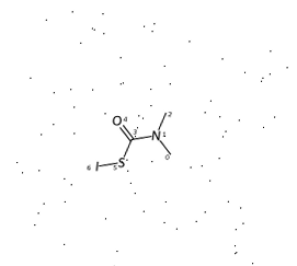 CN(C)C(=O)SI